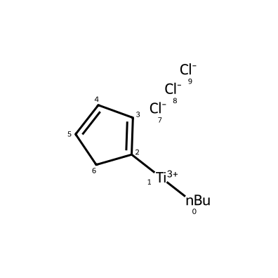 CCC[CH2][Ti+3][C]1=CC=CC1.[Cl-].[Cl-].[Cl-]